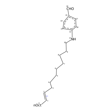 CCCCCCCC/C=C/CCCCCCCCNc1ccc(C=O)cc1